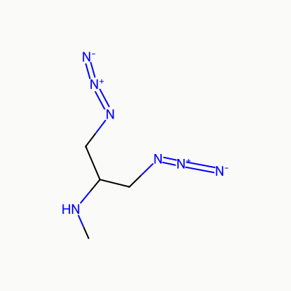 CNC(CN=[N+]=[N-])CN=[N+]=[N-]